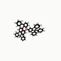 CC1(C)c2ccccc2-c2cc(N(c3ccc4c(c3)-c3ccccc3C4(c3ccccc3)c3ccccc3)c3cccc(-c4ccccc4)c3-c3ccc(-c4ccccc4)cc3)ccc21